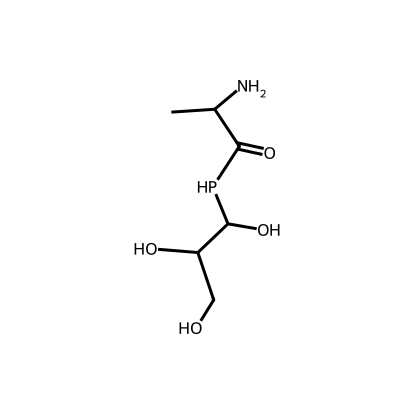 CC(N)C(=O)PC(O)C(O)CO